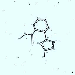 COC(=O)c1ccccc1-c1ncc(C)o1